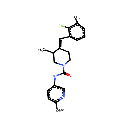 COc1ccc(NC(=O)N2CC/C(=C\c3cccc(C(F)(F)F)c3F)C(C)C2)cn1